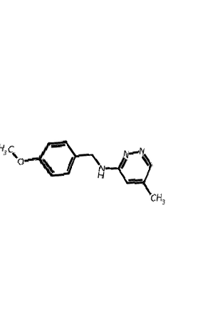 COc1ccc(CNc2cc(C)cnn2)cc1